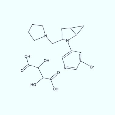 Brc1cncc(N2C(CN3CCCC3)CC3CC32)c1.O=C(O)C(O)C(O)C(=O)O